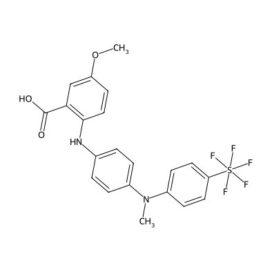 COc1ccc(Nc2ccc(N(C)c3ccc(S(F)(F)(F)(F)F)cc3)cc2)c(C(=O)O)c1